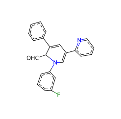 O=CC1C(c2ccccc2)=CC(c2ccccn2)=CN1c1cccc(F)c1